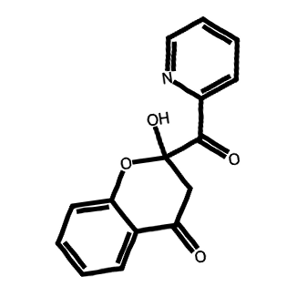 O=C1CC(O)(C(=O)c2ccccn2)Oc2ccccc21